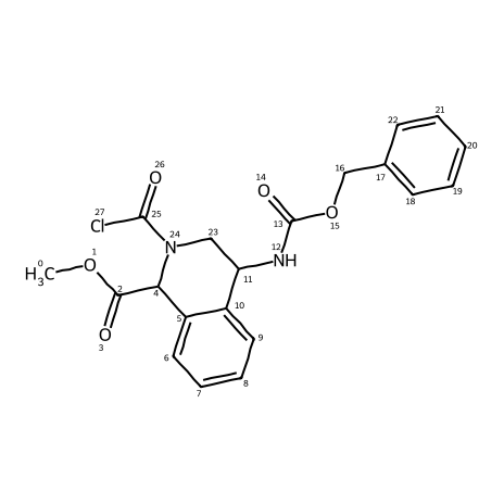 COC(=O)C1c2ccccc2C(NC(=O)OCc2ccccc2)CN1C(=O)Cl